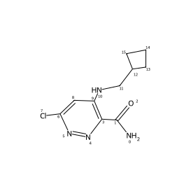 NC(=O)c1nnc(Cl)cc1NCC1CCC1